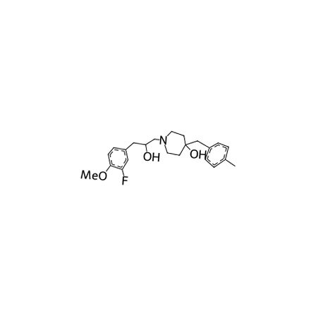 COc1ccc(CC(O)CN2CCC(O)(Cc3ccc(C)cc3)CC2)cc1F